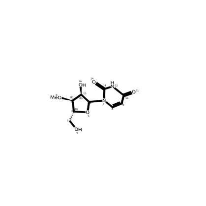 CO[C@@H]1[C@@H](CO)OC(n2ccc(=O)[nH]c2=O)[C@@H]1O